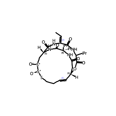 C/C=C1\NC(=O)[C@H]2C[S+]([O-])[S+]([O-])SCC/C=C/[C@H](CC(=O)N[C@H](C(C)C)C(=O)N2)OC(=O)C(C(C)C)NC1=O